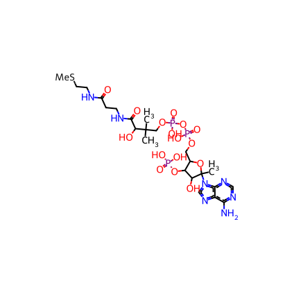 CSCCNC(=O)CCNC(=O)C(O)C(C)(C)COP(=O)(O)OP(=O)(O)OCC1OC(C)(n2cnc3c(N)ncnc32)C(O)C1OP(=O)(O)O